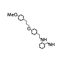 COc1ccc(CCCOc2ccc(CCNc3ccccc3C=N)cc2)cc1